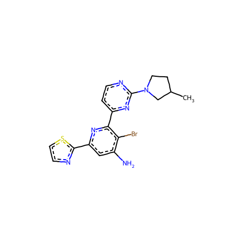 CC1CCN(c2nccc(-c3nc(-c4nccs4)cc(N)c3Br)n2)C1